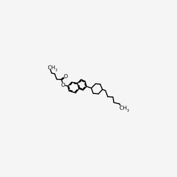 CCCCCCC1CCC(c2ccc3cc(OC(=O)CCCC)ccc3c2)CC1